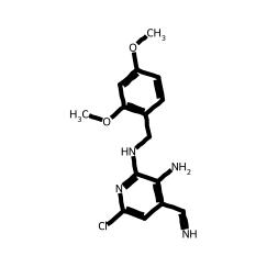 COc1ccc(CNc2nc(Cl)cc(C=N)c2N)c(OC)c1